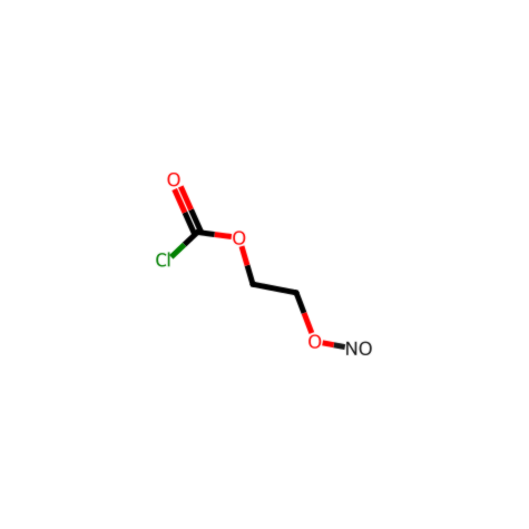 O=NOCCOC(=O)Cl